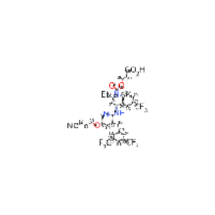 CC[C@@H]1C[C@H](Nc2ncc(OCCCC#N)cc2Cc2cc(C(F)(F)F)cc(C(F)(F)F)c2)c2cc(C(F)(F)F)ccc2N1C(=O)OCCC(=O)O